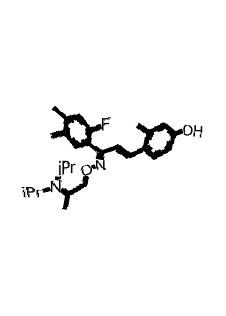 Cc1cc(F)c(C(/C=C/c2ccc(O)cc2C)=N\OCC(C)N(C(C)C)C(C)C)cc1C